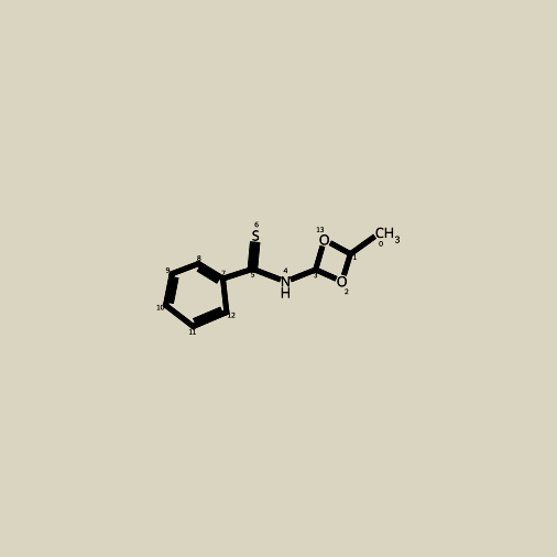 CC1OC(NC(=S)c2ccccc2)O1